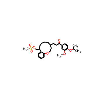 COc1cc(C(=O)CCC2CCCCC(COS(C)(=O)=O)c3ccccc3OCC2)ccc1OC(C)C